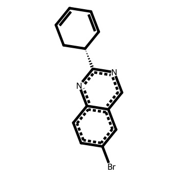 Brc1ccc2nc([C@H]3C=CC=CC3)ncc2c1